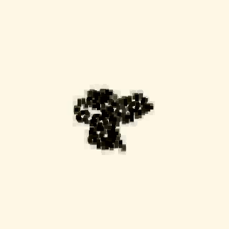 [2H]c1c([2H])c(C(F)(F)F)c([2H])c([2H])c1-c1c([2H])c([2H])c(C([2H])([2H])N(CCN(C([2H])([2H])C)C([2H])([2H])C)C(=O)Cn2c(SCc3ccc(F)cc3)nc(=O)c3c2C([2H])([2H])C([2H])(C)C3([2H])[2H])c([2H])c1[2H]